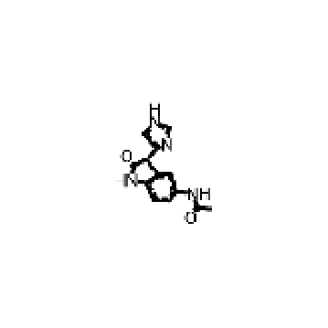 CC(=O)Nc1ccc2c(c1)C(c1c[nH]cn1)C(=O)N2